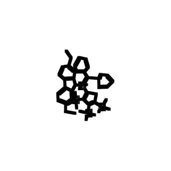 CCc1ccc2c(c1)[CH]([Zr]([C]1=C([Si](C)(C)C)C([Si](C)(C)C)=C([Si](C)(C)C)C1)=[C](c1ccccc1)c1ccccc1)c1cc(CC)ccc1-2